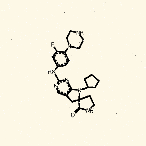 O=C1NCCC12Cc1cnc(Nc3ccc(N4CCNCC4)c(F)c3)nc1N2C1CCCC1